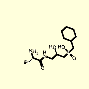 CC(C)[C@H](N)C(=O)NC[C@@H](O)CP(=O)(O)CC1CCCCC1